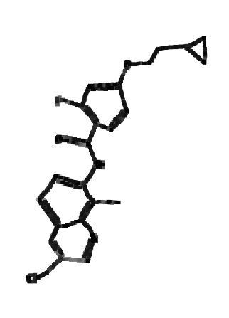 Cc1c(NC(=O)c2ccc(OCCC3CC3)cc2F)ccc2cc(CCl)cnc12